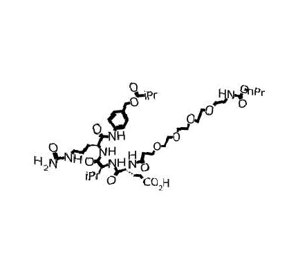 CCCOC(=O)NCCOCCOCCOCCOCCC(=O)N[C@H](CCC(=O)O)C(=O)N[C@H](C(=O)N[C@@H](CCCNC(N)=O)C(=O)Nc1ccc(COC(=O)C(C)C)cc1)C(C)C